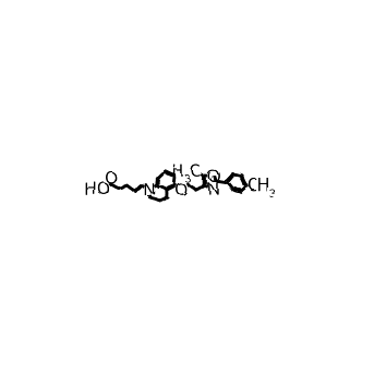 Cc1ccc(-c2nc(CCOc3cccc4c3CCCN4CCCCC(=O)O)c(C)o2)cc1